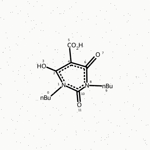 CCCCn1c(O)c(C(=O)O)c(=O)n(CCCC)c1=O